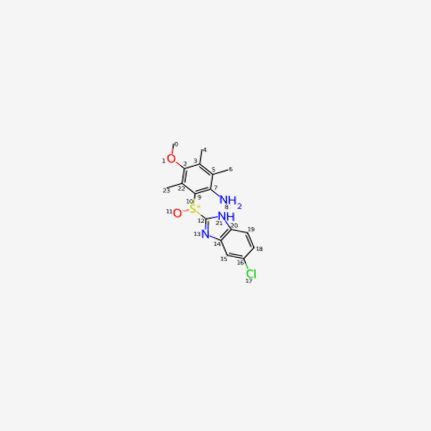 COc1c(C)c(C)c(N)c([S+]([O-])c2nc3cc(Cl)ccc3[nH]2)c1C